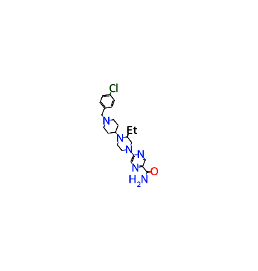 CC[C@H]1CN(c2cnc(C(N)=O)cn2)CCN1C1CCN(Cc2ccc(Cl)cc2)CC1